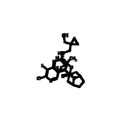 CC(C)(C)OC(=O)N1C2CCC1CN(c1nc(NCC3(CO)CC3)nc3c(F)c(Cl)ncc13)C2